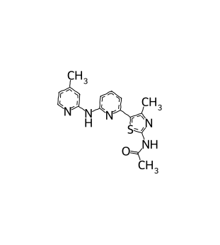 CC(=O)Nc1nc(C)c(-c2cccc(Nc3cc(C)ccn3)n2)s1